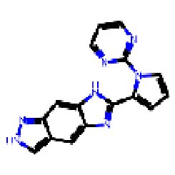 c1cnc(-n2cccc2-c2nc3cc4c[nH]nc4cc3[nH]2)nc1